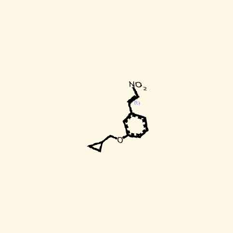 O=[N+]([O-])/C=C/c1cccc(OCC2CC2)c1